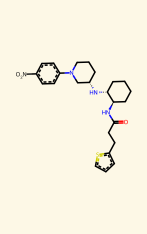 O=C(CCc1cccs1)N[C@@H]1CCCC[C@H]1N[C@H]1CCCN(c2ccc([N+](=O)[O-])cc2)C1